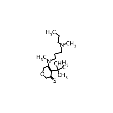 CCCN(C)CCCN(C)C1=C(C(C)(C)C)C(=S)COC1